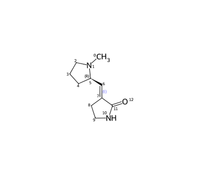 CN1CCC[C@@H]1/C=C1\CCNC1=O